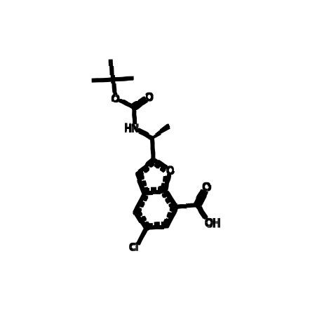 C[C@H](NC(=O)OC(C)(C)C)c1cc2cc(Cl)cc(C(=O)O)c2o1